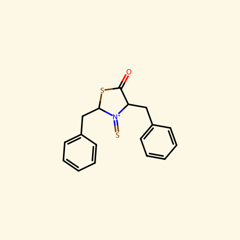 O=C1SC(Cc2ccccc2)[N+](=S)C1Cc1ccccc1